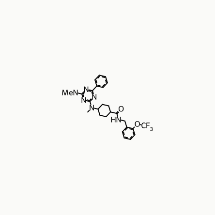 CNc1nc(-c2ccccc2)nc(N(C)C2CCC(C(=O)NCc3ccccc3OC(F)(F)F)CC2)n1